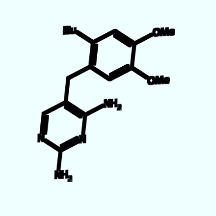 CCC(C)c1cc(OC)c(OC)cc1Cc1cnc(N)nc1N